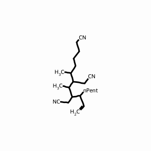 C=CC(CCCCC)C(CC#N)C(C)C(CC#N)C(C)CCCCC#N